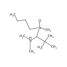 CCCC[Si](C)(Cl)C([SiH](C)C)C(C)(C)C